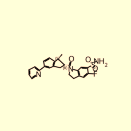 C[C@@H]1c2ccc(-c3ccccn3)cc2C[C@H]1C(=O)N1CCc2cc(F)c(S(N)(=O)=O)cc21